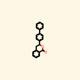 O=C1OC(c2ccc(-c3ccccc3)cc2)Cc2ccccc21